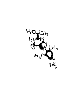 Cc1cc(OC(F)F)cc(C)c1-n1cc2c(=O)[nH]c([C@@H](C)O)nc2n1